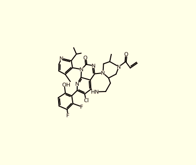 C=CC(=O)N1CC2CCNc3c(Cl)c(-c4c(O)ccc(F)c4F)nc4c3c(nc(=O)n4-c3c(C)ccnc3C(C)C)N2CC1C